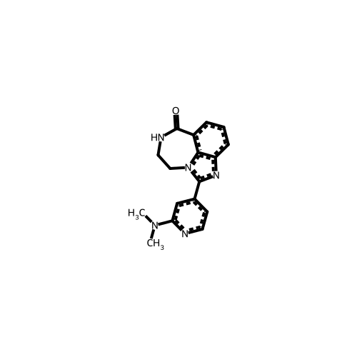 CN(C)c1cc(-c2nc3cccc4c3n2CCNC4=O)ccn1